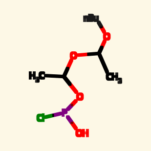 CCCCOC(C)OC(C)OP(O)Cl